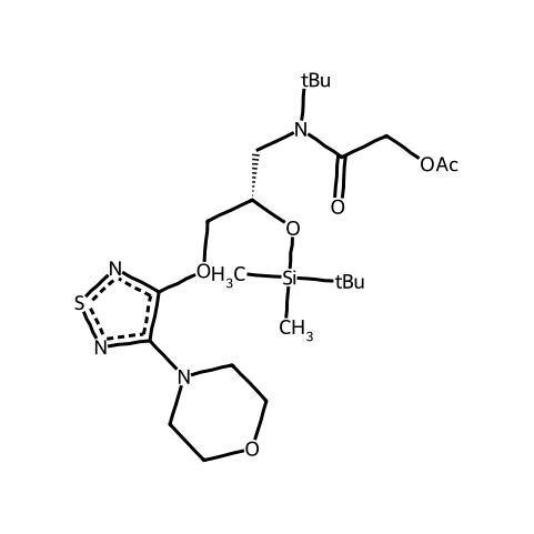 CC(=O)OCC(=O)N(C[C@@H](COc1nsnc1N1CCOCC1)O[Si](C)(C)C(C)(C)C)C(C)(C)C